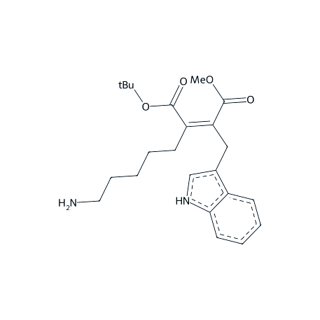 COC(=O)C(Cc1c[nH]c2ccccc12)=C(CCCCCN)C(=O)OC(C)(C)C